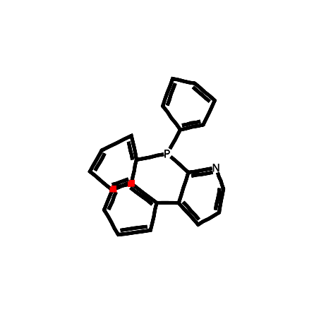 c1ccc(-c2cccnc2P(c2ccccc2)c2ccccc2)cc1